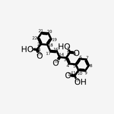 O=C(O)C(=Cc1ccccc1C(=O)O)C(=O)C=Cc1ccccc1C(=O)O